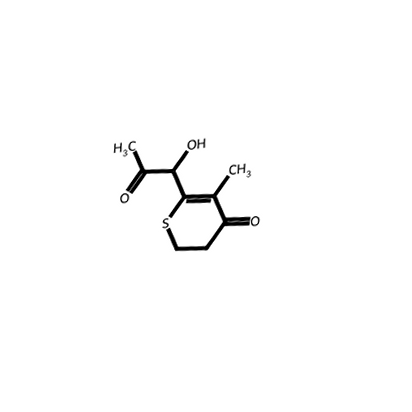 CC(=O)C(O)C1=C(C)C(=O)CCS1